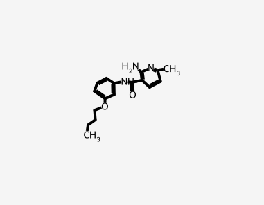 CCCCOc1cccc(NC(=O)c2ccc(C)nc2N)c1